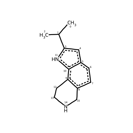 CC(C)c1cc2ccc3c(c2[nH]1)CCNC3